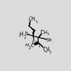 C=C(C)C(C)(S)C(C)(N)CCC